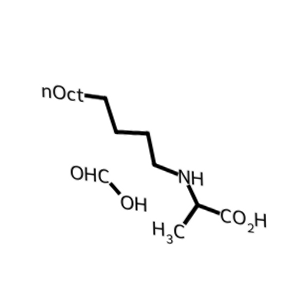 CCCCCCCCCCCCNC(C)C(=O)O.O=CO